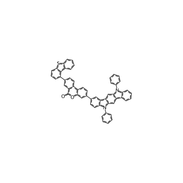 O=c1oc2cc(-c3ccc4c(c3)c3cc5c(cc3n4-c3ccccc3)c3ccccc3n5-c3ccccc3)ccc2c2ccc(-c3cccc4sc5ccccc5c34)cc12